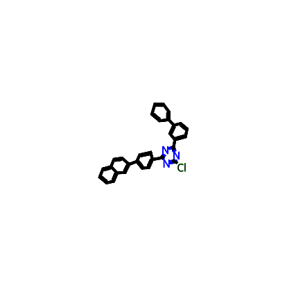 Clc1nc(-c2ccc(-c3ccc4ccccc4c3)cc2)nc(-c2cccc(-c3ccccc3)c2)n1